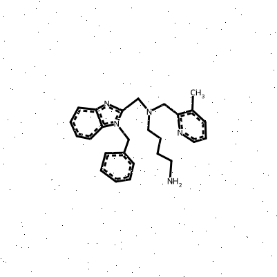 Cc1cccnc1CN(CCCCN)Cc1nc2ccccc2n1Cc1ccccc1